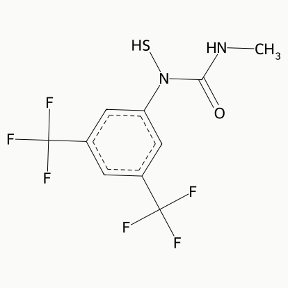 CNC(=O)N(S)c1cc(C(F)(F)F)cc(C(F)(F)F)c1